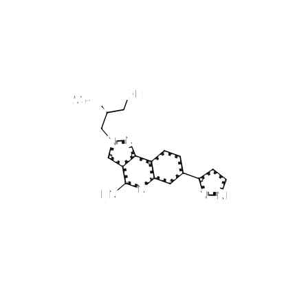 CO[C@@H](CO)Cn1cc2c(N)nc3cc(-c4cc[nH]n4)ccc3c2n1